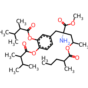 CCCC(C)C(=O)OC(C)C[C@@](N)(Cc1ccc(OC(=O)C(C)C(C)C)c(OC(=O)C(C)C(C)C)c1)C(=O)OC